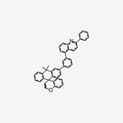 CC1(C)c2ccccc2C2(c3ccccc3Oc3ccccc32)c2ccc(-c3cccc(-c4cccc5nc(-c6ccccc6)ccc45)c3)cc21